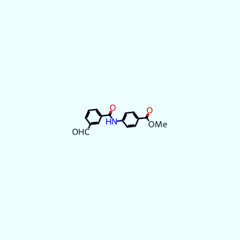 COC(=O)c1ccc(NC(=O)c2cccc(C=O)c2)cc1